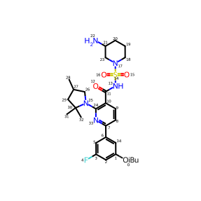 CC(C)COc1cc(F)cc(-c2ccc(C(=O)NS(=O)(=O)N3CCCC(N)C3)c(N3CC(C)CC3(C)C)n2)c1